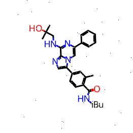 CCC(C)NC(=O)c1ccc(-c2cnc3c(NCC(C)(C)O)nc(-c4ccccc4)cn23)cc1C